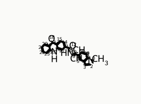 Cn1ccc2cc(C(C)(C)NC(=O)c3ccc4c(=O)c5ccccc5[nH]c4c3)ccc21